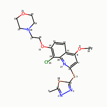 Cc1nnc(Sc2cc(OC(C)C)c3ccc(OCCN4CCOCC4)c(Cl)c3n2)s1